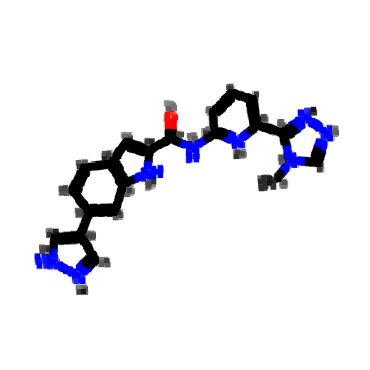 CC(C)n1cnnc1-c1cccc(NC(=O)c2cc3ccc(-c4cn[nH]c4)cc3[nH]2)n1